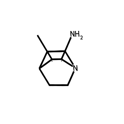 C[C]1[C](N)N2CCC1CC2